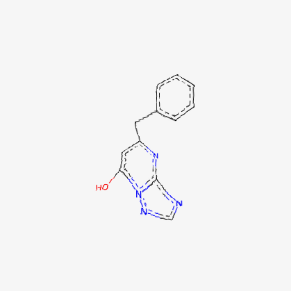 Oc1cc(Cc2ccccc2)nc2ncnn12